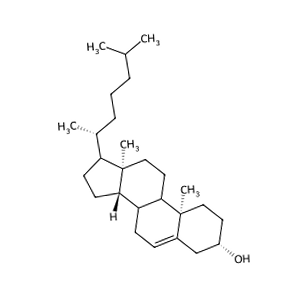 CC(C)CCC[C@@H](C)C1CC[C@H]2C3CC=C4C[C@@H](O)CC[C@]4(C)C3CC[C@]12C